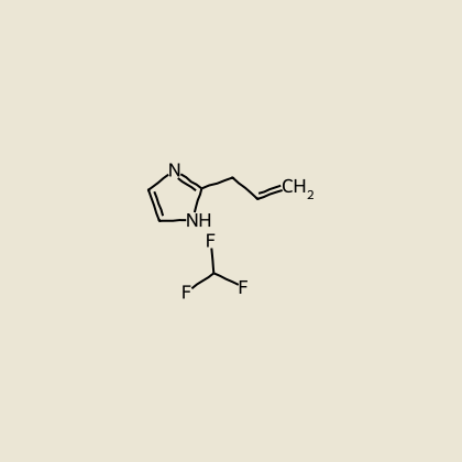 C=CCc1ncc[nH]1.FC(F)F